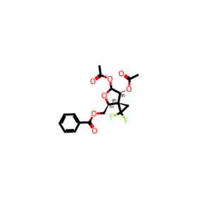 CC(=O)OC1O[C@H](COC(=O)c2ccccc2)[C@]2(CC2(F)F)[C@H]1OC(C)=O